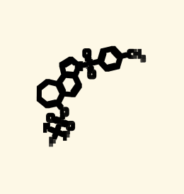 Cc1ccc(S(=O)(=O)n2ccc3c4c(ccc32)C(OS(=O)(=O)C(F)(F)F)=CCCC4)cc1